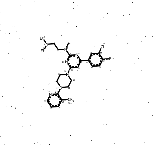 CCN(CC)CCN(C)c1nc(-c2ccc(F)c(Cl)c2)cc(N2CCN(c3ncccc3C(F)(F)F)CC2)n1